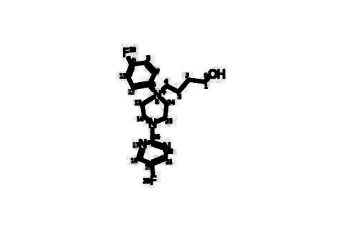 OCCCC[N+]1(c2ccc(F)cc2)CCN(c2ncc(F)cn2)CC1